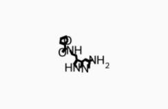 Nc1cnc2[nH]cc(CCNC(=O)c3ccco3)c2c1